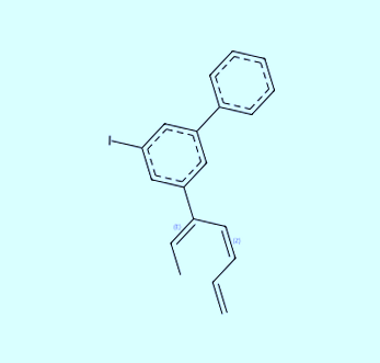 C=C/C=C\C(=C/C)c1cc(I)cc(-c2ccccc2)c1